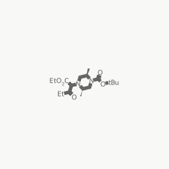 CCOC(=O)C(C(=O)CC)N1C[C@@H](C)N(C(=O)OC(C)(C)C)C[C@@H]1C